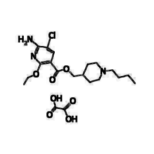 CCCCN1CCC(COC(=O)c2cc(Cl)c(N)nc2OCC)CC1.O=C(O)C(=O)O